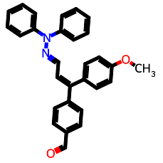 COc1ccc(/C(=C\C=N\N(c2ccccc2)c2ccccc2)c2ccc(C=O)cc2)cc1